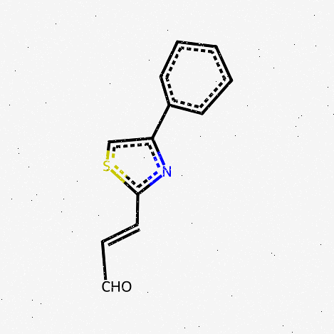 O=CC=Cc1nc(-c2ccccc2)cs1